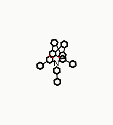 c1ccc(-c2ccc(N(c3cccc(-c4ccccc4)c3)c3cc(-c4ccccc4)ccc3-c3cccc4c3C3(c5ccccc5-c5ccccc53)c3ccccc3-4)cc2)cc1